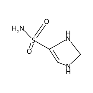 NS(=O)(=O)C1=CNCN1